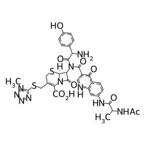 CC(=O)NC(C)C(=O)Nc1ccc2c(=O)c(C(=O)N(C(=O)C(N)c3ccc(O)cc3)C3C(=O)N4C(C(=O)O)=C(CSc5nnnn5C)CS[C@@H]34)c[nH]c2c1